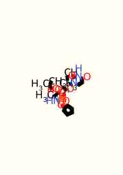 C#CC[C@@H](O[C@H](COP(=O)(N[C@@H](C)C(=O)OCC(C)C)Oc1ccccc1)C(C)O)n1ccc(=O)[nH]c1=O